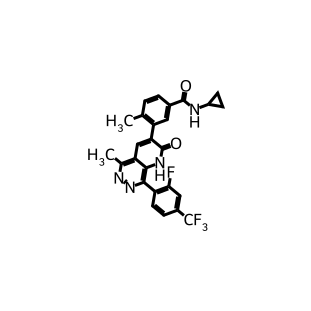 Cc1ccc(C(=O)NC2CC2)cc1-c1cc2c(C)nnc(-c3ccc(C(F)(F)F)cc3F)c2[nH]c1=O